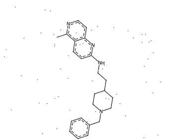 Cc1nccc2nc(NCCC3CCN(Cc4ccccc4)CC3)ccc12